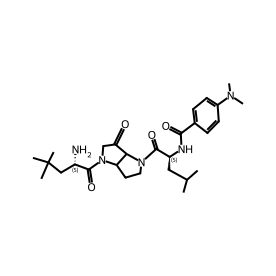 CC(C)C[C@H](NC(=O)c1ccc(N(C)C)cc1)C(=O)N1CCC2C1C(=O)CN2C(=O)[C@@H](N)CC(C)(C)C